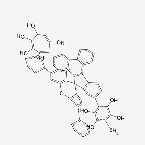 Bc1c(O)c(O)c(-c2ccc3c(c2)C2(c4ccc(-c5ccccc5)cc4Oc4cc(-c5ccccc5)ccc42)c2c-3c3ccccc3c3cc(C4=C(O)C(O)=C(O)C(O)C=C4O)ccc23)c(O)c1O